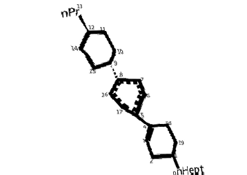 CCCCCCCC1CC=C(c2ccc([C@H]3CC[C@H](CCC)CC3)cc2)CC1